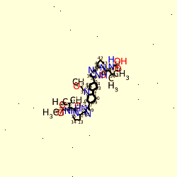 COCCn1c2cc(-c3cnc(C4CCCN4C(=O)[C@@H](NC(=O)OC)C(C)C)[nH]3)ccc2c2ccc(-c3cnc([C@@H]4CCCN4C(=O)[C@@H](NC(=O)O)C(C)C)[nH]3)cc21